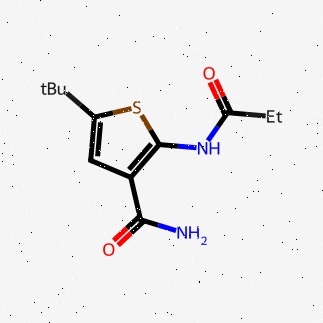 CCC(=O)Nc1sc(C(C)(C)C)cc1C(N)=O